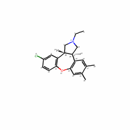 CCN1C[C@H]2c3cc(Cl)ccc3Oc3cc(C)c(C)cc3[C@]2(C)C1